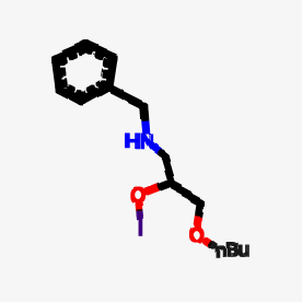 CCCCOCC(CNCc1ccccc1)OI